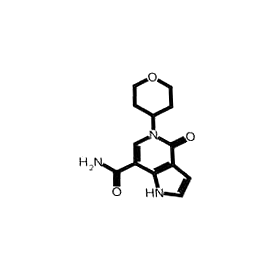 NC(=O)c1cn(C2CCOCC2)c(=O)c2cc[nH]c12